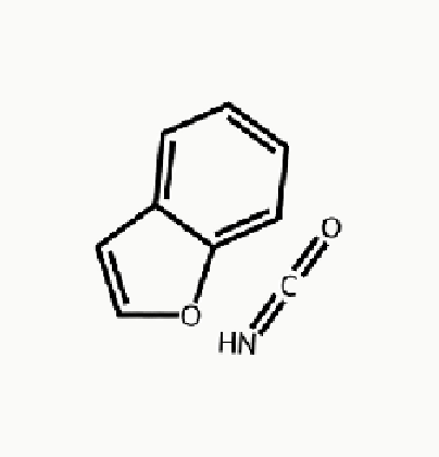 N=C=O.c1ccc2occc2c1